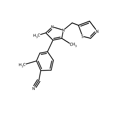 Cc1cc(-c2c(C)nn(Cc3cncs3)c2C)ccc1C#N